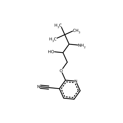 CC(C)(C)C(N)C(O)COc1ncccc1C#N